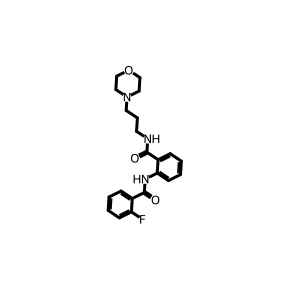 O=C(Nc1ccccc1C(=O)NCCCN1CCOCC1)c1ccccc1F